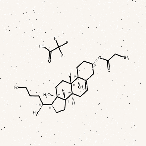 CC(C)CCC[C@@H](C)[C@H]1CC[C@H]2[C@@H]3CC=C4C[C@@H](OC(=O)CN)CC[C@]4(C)[C@H]3CC[C@]12C.O=C(O)C(F)(F)F